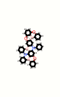 c1ccc(N2c3cc4c(cc3B3c5ccccc5N5c6ccccc6B6c7ccccc7Oc7cc2c3c5c76)Oc2cccc3c2B4c2ccccc2O3)cc1